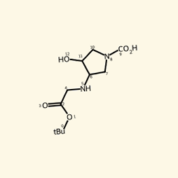 CC(C)(C)OC(=O)CNC1CN(C(=O)O)CC1O